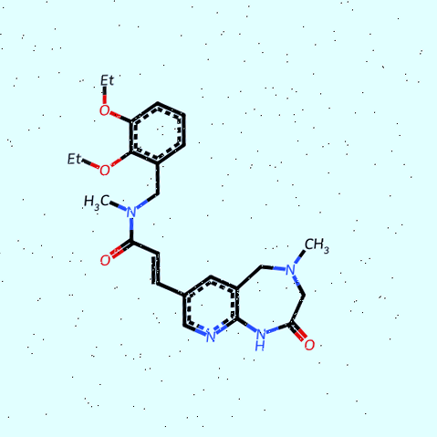 CCOc1cccc(CN(C)C(=O)C=Cc2cnc3c(c2)CN(C)CC(=O)N3)c1OCC